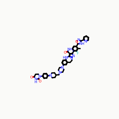 Cc1c(C2NC(c3ccccn3)=NO2)ccc(-c2nn3c(c2C(N)=O)Nc2ccc(N4CCN(CC5CCN(c6ccc(N7CCC(=O)NC7=O)cc6)CC5)CC4)cc2CC3)c1F